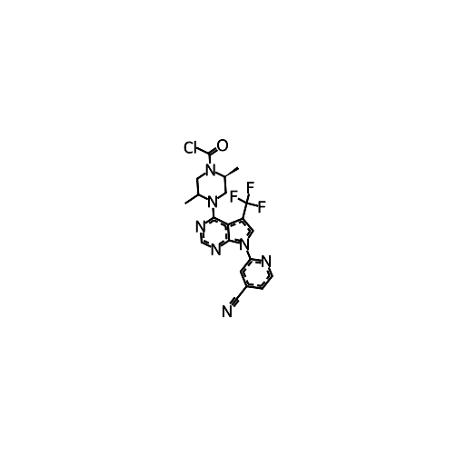 CC1CN(C(=O)Cl)[C@@H](C)CN1c1ncnc2c1c(C(F)(F)F)cn2-c1cc(C#N)ccn1